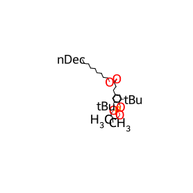 CCCCCCCCCCCCCCCCCCOC(=O)CCc1cc(C(C)(C)C)c(OP2OCC(C)(C)CO2)c(C(C)(C)C)c1